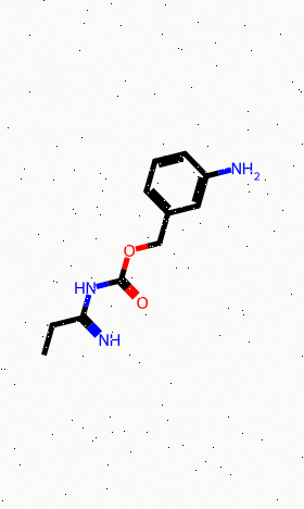 C[CH]C(=N)NC(=O)OCc1cccc(N)c1